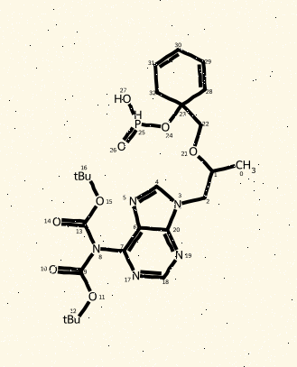 CC(Cn1cnc2c(N(C(=O)OC(C)(C)C)C(=O)OC(C)(C)C)ncnc21)OCC1(O[PH](=O)O)C=CC=CC1